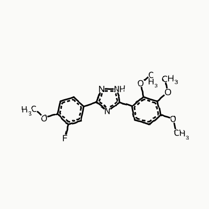 COc1ccc(-c2n[nH]c(-c3ccc(OC)c(OC)c3OC)n2)cc1F